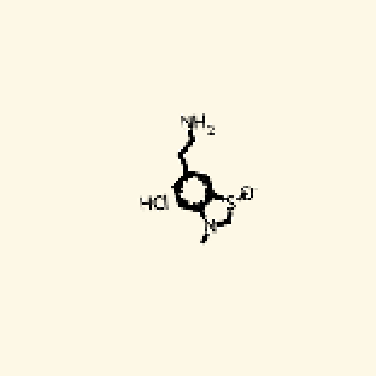 CN1C[S+]([O-])c2cc(CCN)ccc21.Cl